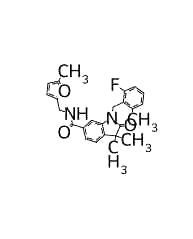 Cc1ccc(CNC(=O)c2ccc3c(c2)N(Cc2c(C)cccc2F)C(=O)C3(C)C)o1